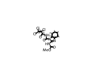 COC(=O)Nc1nc2ccccc2n1C(=O)NC(=O)C(Cl)=C(Cl)Cl